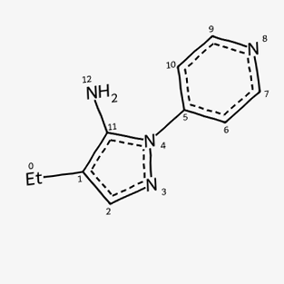 CCc1cnn(-c2ccncc2)c1N